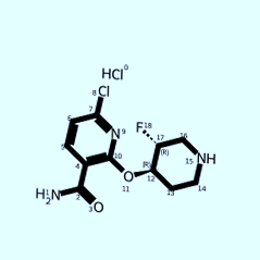 Cl.NC(=O)c1ccc(Cl)nc1O[C@@H]1CCNC[C@H]1F